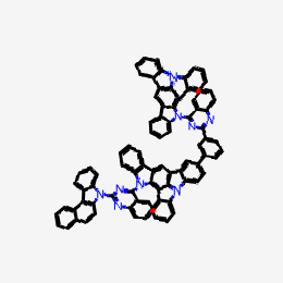 c1cc(-c2ccc3c(c2)c2cc4c5ccccc5n(-c5nc(-n6c7ccccc7c7c8ccccc8ccc76)nc6ccccc56)c4c4c5ccccc5n3c24)cc(-c2nc(-n3c4ccccc4c4cc5c6ccccc6n6c7ccccc7c(c43)c56)c3ccccc3n2)c1